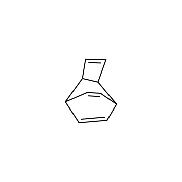 C1=CC2C=CC1C1C=CC21